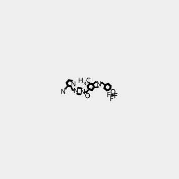 Cc1cc(C(=O)N2CCN(Cc3ncccc3C#N)CC2)cc2c1CN(Cc1ccc(OC(F)(F)F)cc1)C2